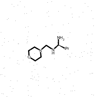 CC(C)[C@H](N)NCN1CCOCC1